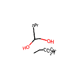 CC(=O)O.CCCC(O)O.[Cu]